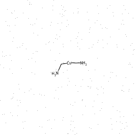 N[CH2][Cu][NH2]